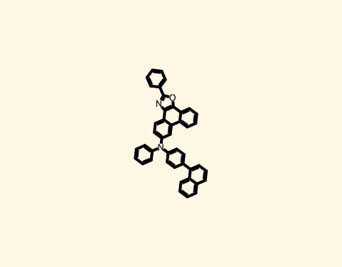 c1ccc(-c2nc3c4ccc(N(c5ccccc5)c5ccc(-c6cccc7ccccc67)cc5)cc4c4ccccc4c3o2)cc1